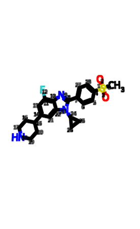 CS(=O)(=O)c1ccc(-c2nc3c(F)cc(C4CCNCC4)cc3n2C2CC2)cc1